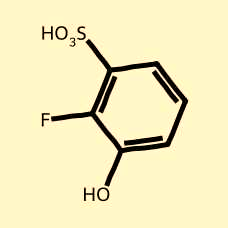 O=S(=O)(O)c1cccc(O)c1F